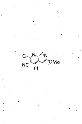 COc1cc2c(Cl)c(C#N)c(Cl)nc2cn1